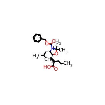 CCC/C(=C\[C@@H]1OC(C)(C)N(C(=O)OCc2ccccc2)[C@H]1CC(C)C)C(=O)O